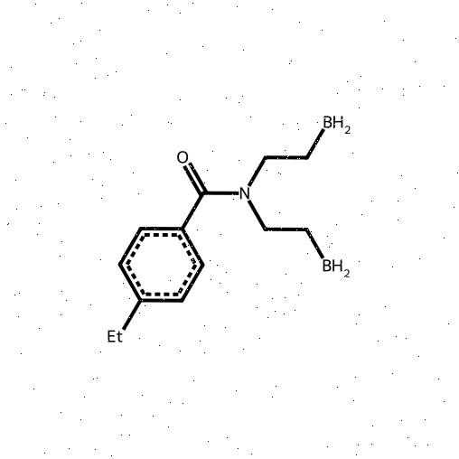 BCCN(CCB)C(=O)c1ccc(CC)cc1